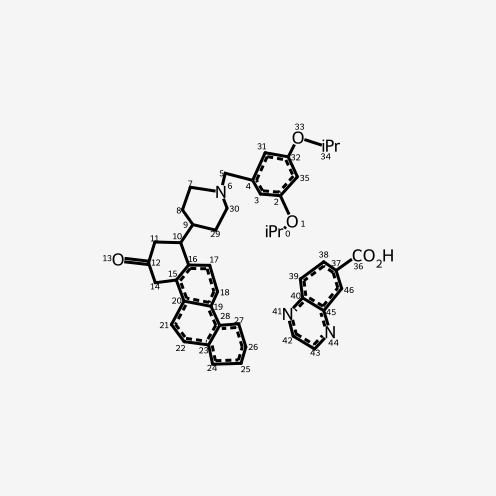 CC(C)Oc1cc(CN2CCC(C3CC(=O)Cc4c3ccc3c4ccc4ccccc43)CC2)cc(OC(C)C)c1.O=C(O)c1ccc2nccnc2c1